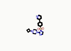 O=S(=O)(c1ccc(-c2cccnc2)cc1)N1CCN=C1N1CCN(C2CCC2)CC1